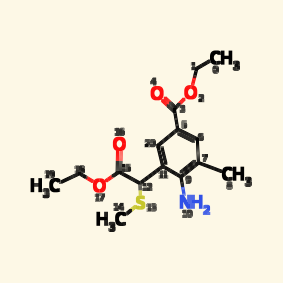 CCOC(=O)c1cc(C)c(N)c(C(SC)C(=O)OCC)c1